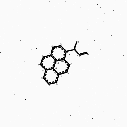 C=CC(C)c1ccc2ccc3cccc4ccc1c2c34